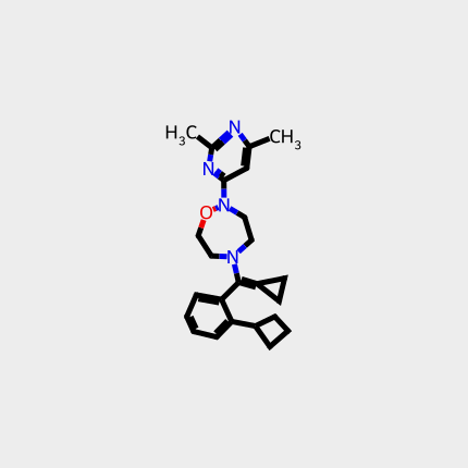 Cc1cc(N2CCN(C(=C3CC3)c3ccccc3C3CCC3)CCO2)nc(C)n1